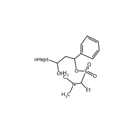 CCCCCCCC(O)CC(OS(=O)(=O)C(CC)N(C)C)c1ccccc1